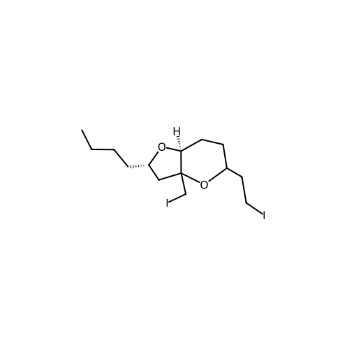 CCCC[C@H]1CC2(CI)OC(CCI)CC[C@@H]2O1